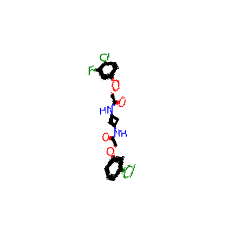 O=C(COc1cccc(Cl)c1)NC12CC(NC(=O)COc3ccc(Cl)c(F)c3)(C1)C2